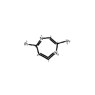 CC(C)C1=CN=C(C(C)C)C=C=N1